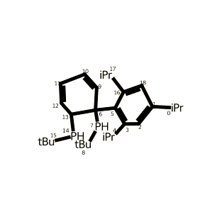 CC(C)c1cc(C(C)C)c(C2(PC(C)(C)C)C=CC=CC2PC(C)(C)C)c(C(C)C)c1